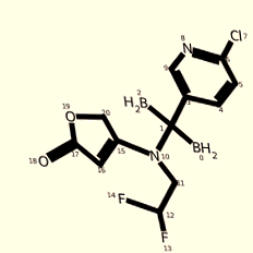 BC(B)(c1ccc(Cl)nc1)N(CC(F)F)C1=CC(=O)OC1